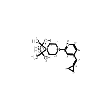 BC(O)(O)[N+]1(C(O)(O)O)CCN(c2cc(C=C3CC3)ccn2)CC1